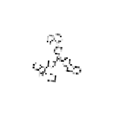 Cn1c(-c2ccccc2)c(-c2ccc(N(c3ccc(-c4cccc5ccccc45)cc3)c3ccc4c(c3)C(C)(C)c3ccccc3-4)cc2)c2ccccc21